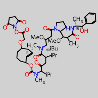 CC[C@H](C)C(C(CC(=O)N1CCCC1C(OC)C(C)C(=O)N[C@H](C)[C@@H](O)c1ccccc1)OC)N(C)C(=O)C(CC(=O)C(C(C)C)N(C)C(=O)OC1/C=C/CC(OCC(=O)ON2C(=O)CCC2=O)CCC1)C(C)C